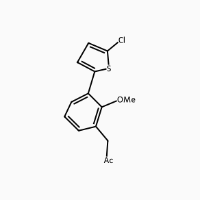 COc1c(CC(C)=O)cccc1-c1ccc(Cl)s1